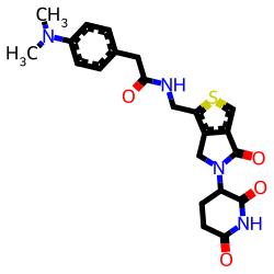 CN(C)c1ccc(CC(=O)NCc2scc3c2CN(C2CCC(=O)NC2=O)C3=O)cc1